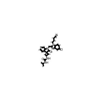 CC(C)NC(=O)N[C@H]1C[C@]2(C1)C(=O)N(Cc1nc3cc(Cl)ccc3n1CCCC#N)c1cnccc12